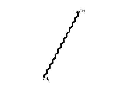 CCCCCCCC=CCC=CCCCCCCCCCCCCCC(=O)O